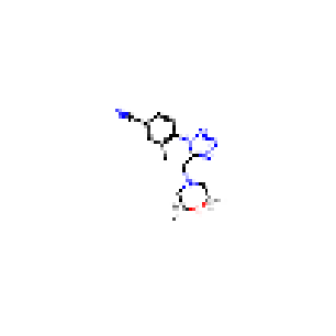 Cc1cc(C#N)ccc1-n1nnnc1CN1C[C@@H](C)O[C@@H](C)C1